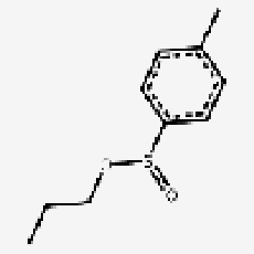 CCCOS(=O)c1ccc(C)cc1